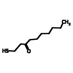 CCCCCCCC(=O)CCS